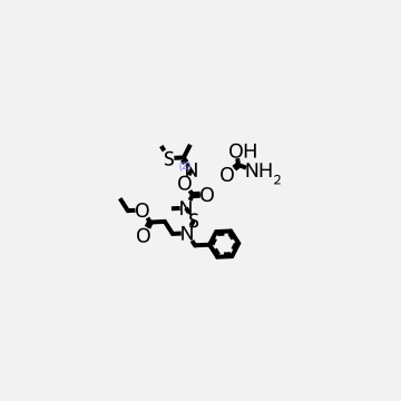 CCOC(=O)CCN(Cc1ccccc1)SN(C)C(=O)O/N=C(/C)SC.NC(=O)O